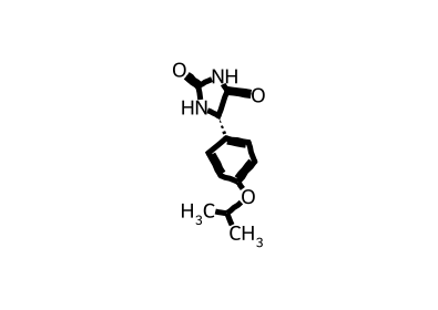 CC(C)Oc1ccc([C@@H]2NC(=O)NC2=O)cc1